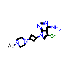 CC(=O)N1CCN(C2CC(n3cc(Br)c4c(N)ncnc43)C2)CC1